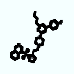 CCCCc1cc(-c2ccc(F)cc2)cc(N2CCN(CC[C@H]3CCCN3S(=O)(=O)c3cncc4ccccc34)CC2)n1